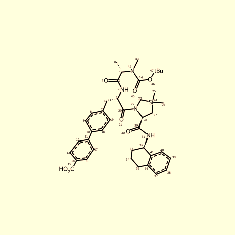 C[C@@H](C(=O)N[C@@H](Cc1ccc(-c2ccc(C(=O)O)cc2)cc1)C(=O)N1C[Si](C)(C)C[C@H]1C(=O)N[C@@H]1CCCc2ccccc21)N(C)C(=O)OC(C)(C)C